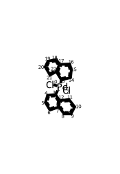 [Cl][Pd]([Cl])([c]1cccc2ccccc12)[c]1cccc2ccccc12